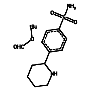 CC(C)(C)OC=O.NS(=O)(=O)c1ccc(C2CCCCN2)cc1